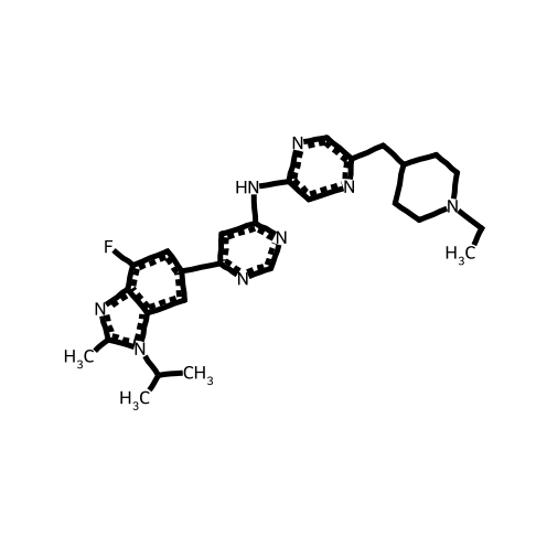 CCN1CCC(Cc2cnc(Nc3cc(-c4cc(F)c5nc(C)n(C(C)C)c5c4)ncn3)cn2)CC1